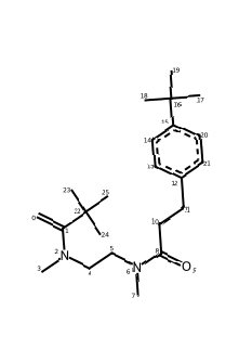 C=C(N(C)CCN(C)C(=O)CCc1ccc(C(C)(C)C)cc1)C(C)(C)C